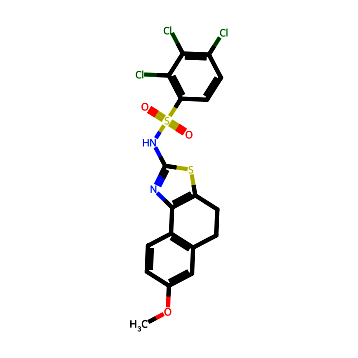 COc1ccc2c(c1)CCc1sc(NS(=O)(=O)c3ccc(Cl)c(Cl)c3Cl)nc1-2